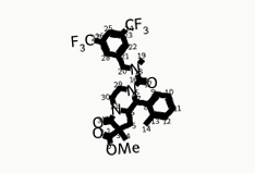 COC(=O)C1(C)CC2C(c3ccccc3C)N(C(=O)N(C)Cc3cc(C(F)(F)F)cc(C(F)(F)F)c3)CCN2C1=O